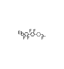 CCOc1ccc(-c2ccc(C3CCC(/C=C(/C)F)CC3)c(F)c2F)c(F)c1F